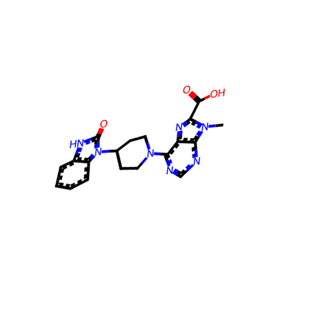 Cn1c(C(=O)O)nc2c(N3CCC(n4c(=O)[nH]c5ccccc54)CC3)ncnc21